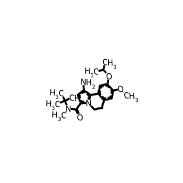 COc1cc2c(cc1OC(C)C)-c1c(N)cc(C(=O)N(C)C(C)(C)C)n1CC2